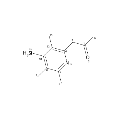 CC(=O)Cc1nc(C)c(C)c([SiH3])c1C